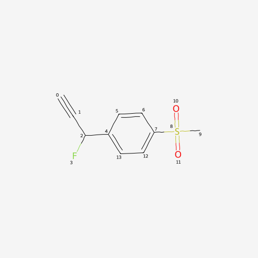 C#CC(F)c1ccc(S(C)(=O)=O)cc1